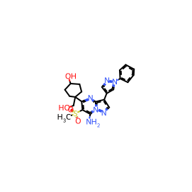 CS(=O)(=O)c1c(C2(CO)CCC(O)CC2)nc2c(-c3cnn(-c4ccccc4)c3)cnn2c1N